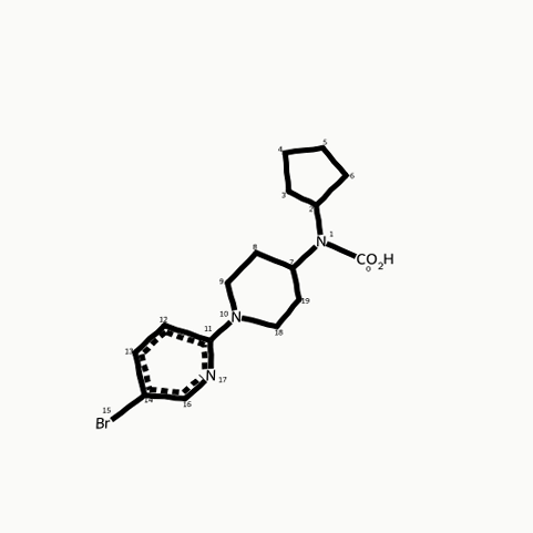 O=C(O)N(C1CCCC1)C1CCN(c2ccc(Br)cn2)CC1